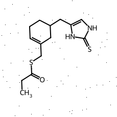 CCC(=O)SCC1=CCCC(Cc2c[nH]c(=S)[nH]2)C1